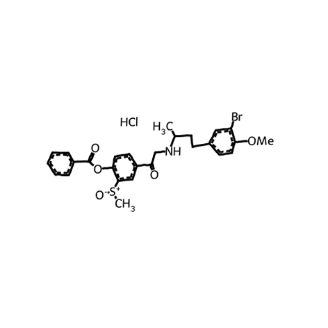 COc1ccc(CCC(C)NCC(=O)c2ccc(OC(=O)c3ccccc3)c([S+](C)[O-])c2)cc1Br.Cl